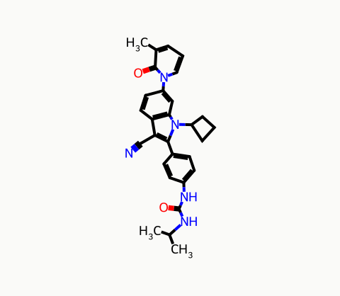 Cc1cccn(-c2ccc3c(C#N)c(-c4ccc(NC(=O)NC(C)C)cc4)n(C4CCC4)c3c2)c1=O